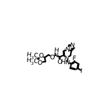 CC1(C)OCC(CONC(=O)C2=C[N+]3C=NC=C3CN2Nc2ccc(I)cc2F)O1